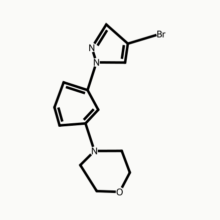 Brc1cnn(-c2cccc(N3CCOCC3)c2)c1